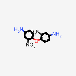 Nc1ccc(Oc2ccc(N)cc2[N+](=O)[O-])c([N+](=O)[O-])c1